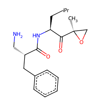 CC(C)C[C@H](NC(=O)[C@@H](CN)Cc1ccccc1)C(=O)[C@@]1(C)CO1